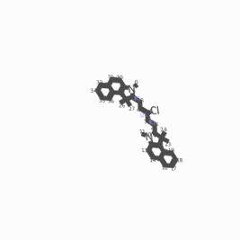 CN1/C(=C/C=C(Cl)/C=C/C2=[N+](C)c3ccc4ccccc4c3C2(C)C)C(C)(C)c2c1ccc1ccccc21